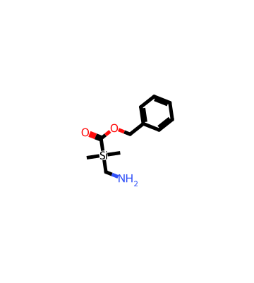 C[Si](C)(CN)C(=O)OCc1ccccc1